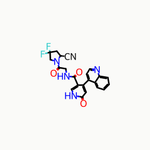 N#CC1CC(F)(F)CN1C(=O)CNC(=O)c1c[nH]c(=O)cc1-c1ccnc2ccccc12